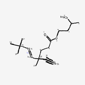 CC(O)CCOC(=O)CCC(C)(C#N)/N=N/C(C)(C)C